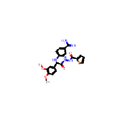 CCOc1cc(C(Nc2ccc(C(=N)N)cc2)C(=O)NNC(=O)c2cccs2)ccc1OC(C)C